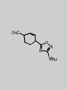 CC(C)(C)c1noc(C2C=CC(C=O)CC2)n1